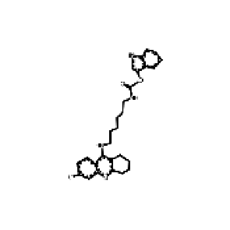 O=C(NCCCCCCNc1c2c(nc3cc(Cl)ccc13)CCCC2)Oc1c[nH]c2ccccc12